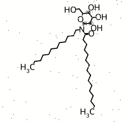 CCCCCCCCCCCCCCCC(=O)N(CCCCCCCCCCCC)[C@@H]1OC(CO)[C@@H](O)C(O)[C@H]1O